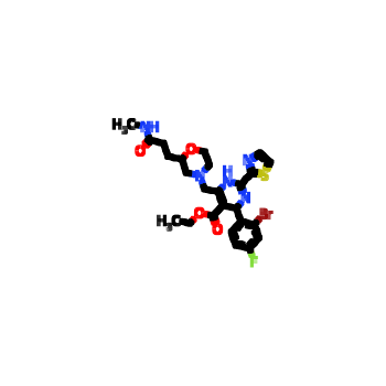 CCOC(=O)C1=C(CN2CCOC(CCC(=O)NC)C2)NC(c2nccs2)=NC1c1ccc(F)cc1Br